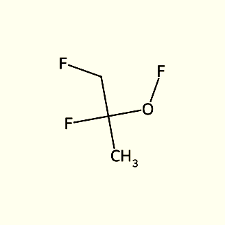 CC(F)(CF)OF